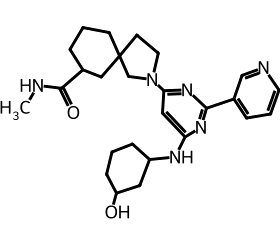 CNC(=O)C1CCCC2(CCN(c3cc(NC4CCCC(O)C4)nc(-c4cccnc4)n3)C2)C1